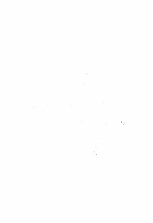 COc1c(C)c(C(=O)Oc2ccccc2)c(OCc2ccccc2)c2c1CNC2